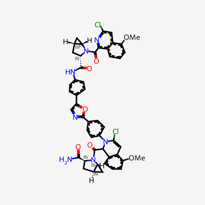 COc1cccc2c1C=C(Cl)N(c1ccc(-c3ncc(-c4ccc(NC(=O)[C@@H]5C[C@@H]6C[C@@H]6N5C(=O)c5nc(Cl)cc6c(OC)cccc56)cc4)o3)cc1)C2C(=O)N1[C@H](C(N)=O)C[C@@H]2C[C@@H]21